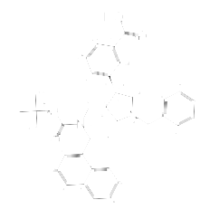 C[C@H](c1cccc2ccccc12)N(C[C@H]1CN(Cc2ccccc2)C[C@@H]1c1cccc(C(=O)O)c1)C(=O)OC(C)(C)C